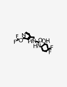 O=C(NCc1ccnc(OC(F)F)c1)N[C@@H]1CCC(F)(F)C[C@H]1O